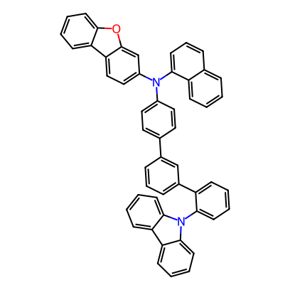 c1cc(-c2ccc(N(c3ccc4c(c3)oc3ccccc34)c3cccc4ccccc34)cc2)cc(-c2ccccc2-n2c3ccccc3c3ccccc32)c1